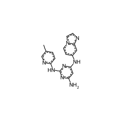 Cc1ccc(Nc2nc(N)cc(Nc3ccn4ccnc4c3)n2)nc1